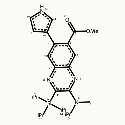 COC(=O)c1cc2nc(N(C)C(C)C)c([Si](C(C)C)(C(C)C)C(C)C)nc2cc1-c1cc[nH]c1